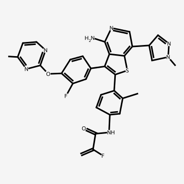 C=C(F)C(=O)Nc1ccc(-c2sc3c(-c4cnn(C)c4)cnc(N)c3c2-c2ccc(Oc3nccc(C)n3)c(F)c2)c(C)c1